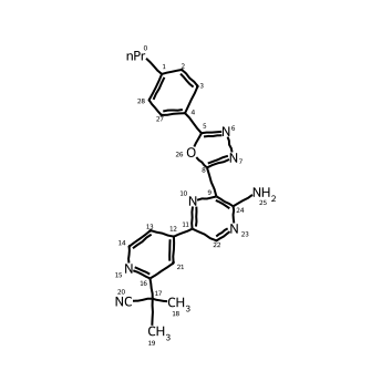 CCCc1ccc(-c2nnc(-c3nc(-c4ccnc(C(C)(C)C#N)c4)cnc3N)o2)cc1